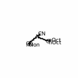 CCCCCCCCCOC(=O)CCCCCCCN(CCC#N)CCCCCCCCOC(CCCCCCCC)CCCCCCCC